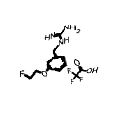 N=C(N)NCc1cccc(OCCF)c1.O=C(O)C(F)(F)F